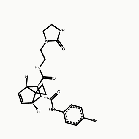 O=C(NCCN1CCNC1=O)[C@H]1[C@H](C(=O)Nc2ccc(Br)cc2)[C@@H]2C=C[C@H]1C21CC1